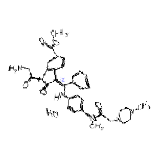 COC(=O)c1ccc2c(c1)N(C(=O)CN)C(=O)/C2=C(\Nc1ccc(N(C)C(=O)CN2CCN(C)CC2)cc1)c1ccccc1.Cl